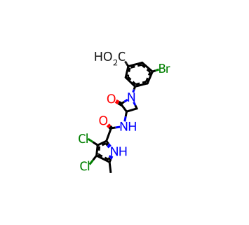 Cc1[nH]c(C(=O)NC2CN(c3cc(Br)cc(C(=O)O)c3)C2=O)c(Cl)c1Cl